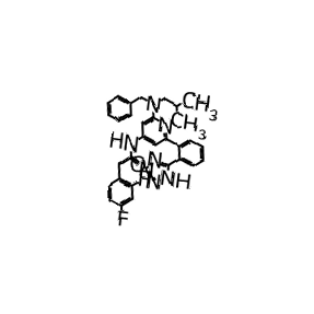 CC(C)CN(Cc1ccccc1)c1cc(NC(=O)Cc2ccc(F)cc2F)cc(-c2ccccc2-c2nnn[nH]2)n1